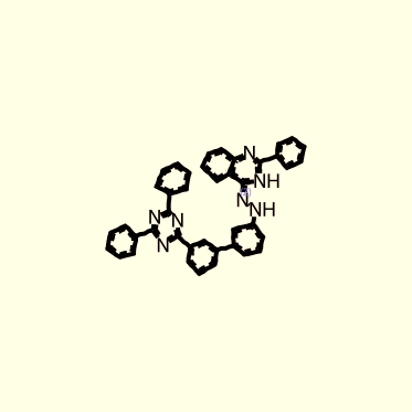 c1ccc(-c2nc(-c3ccccc3)nc(-c3cccc(-c4cccc(N/N=c5\[nH]c(-c6ccccc6)nc6ccccc56)c4)c3)n2)cc1